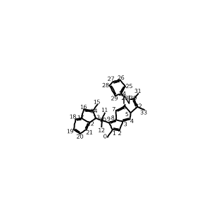 CC1=CC2=CC3C(=CC2=C1C(C)(C)C1C(C)=Cc2ccccc21)N(c1ccccc1)C(C)=C3C